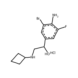 Cl.Nc1c(F)cc(C(O)CNC2CCC2)cc1Br